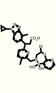 CCC1CN(Cc2nc(C(CC(=O)O)c3ccc4c(nnn4C4CC4)c3C)ccc2C)S(O)(O)c2cccnc2O1